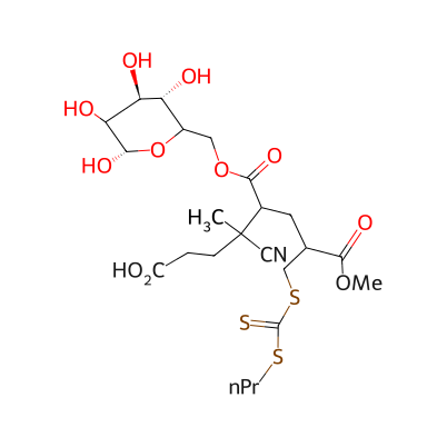 CCCSC(=S)SCC(CC(C(=O)OCC1O[C@H](O)C(O)[C@@H](O)[C@@H]1O)C(C)(C#N)CCC(=O)O)C(=O)OC